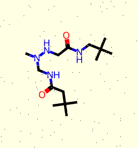 CN(CNC(=O)CC(C)(C)C)NCC(=O)NCC(C)(C)C